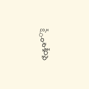 O=C(O)CC1CCC(c2ccc(-c3ccc(-c4nc5cc(-c6ncccc6F)ccc5[nH]4)cn3)cc2)CC1